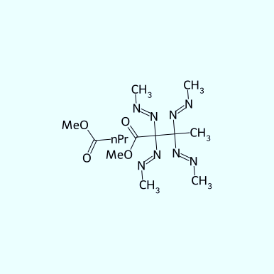 CCCC(=O)OC.CN=NC(C)(N=NC)C(N=NC)(N=NC)C(=O)OC